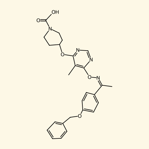 C/C(=N/Oc1ncnc(OC2CCN(C(=O)O)CC2)c1C)c1ccc(OCc2ccccc2)cc1